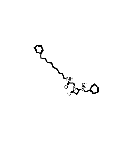 O=C(CN1C(=O)CC1[S+]([O-])Cc1ccccc1)NCCCCCCCCCc1ccccc1